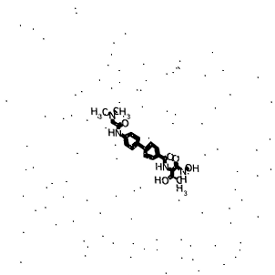 C[C@@H](O)C(NC(=O)c1ccc(-c2ccc(NC(=O)CN(C)C)cc2)cc1)C(=O)NO